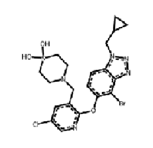 OS1(O)CCN(Cc2cc(Cl)cnc2Oc2ccc3c(nnn3CC3CC3)c2Br)CC1